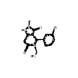 Cn1[nH]c2cc(=O)n(CC=O)c(-c3cccc(Cl)c3)c2c1=O